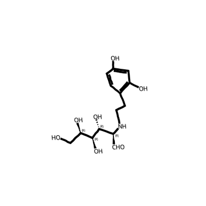 O=C[C@H](NCCc1ccc(O)cc1O)[C@@H](O)[C@@H](O)[C@H](O)CO